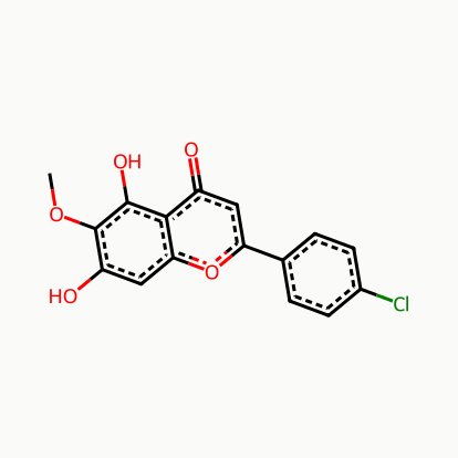 COc1c(O)cc2oc(-c3ccc(Cl)cc3)cc(=O)c2c1O